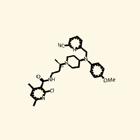 COc1ccc(N(Cc2cccc(C#N)n2)C2CCN([C@H](C)CCNC(=O)c3c(C)cc(C)nc3Cl)CC2)cc1